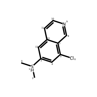 C[SH](C)c1cc(Cl)c2cnccc2c1